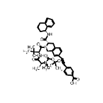 C[C@@H](C(=O)N[C@H](C(=O)N1Cc2cc(C#Cc3ccc(C(=O)O)cc3)ccc2C[C@H]1C(=O)N[C@@H]1CCCc2ccccc21)C(C)(C)C)N(C)C(=O)OC(C)(C)C